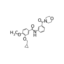 COc1ccc(C(=O)Nc2cccc(C(=O)N3CCOCC3)c2)cc1OCC1CC1